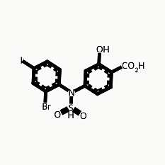 O=C(O)c1ccc(N(c2ccc(I)cc2Br)[SH](=O)=O)cc1O